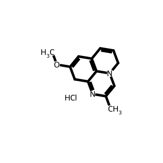 COC1=CC2=C3C(=NC(C)=CN3CC=C2)C1.Cl